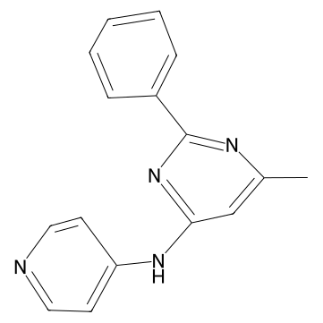 Cc1cc(Nc2ccncc2)nc(-c2ccccc2)n1